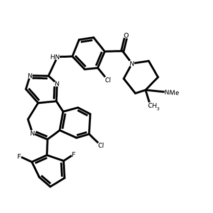 CNC1(C)CCN(C(=O)c2ccc(Nc3ncc4c(n3)-c3ccc(Cl)cc3C(c3c(F)cccc3F)=NC4)cc2Cl)CC1